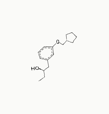 CC[C@@H](O)Cc1cccc(OCC2CCCC2)c1